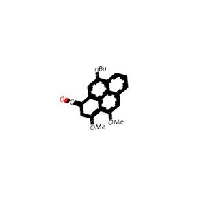 CCCCc1cc2c3c(c(OC)cc4cccc1c43)=C(OC)CC2=C=O